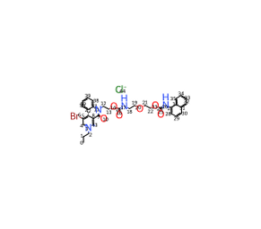 CCC[n+]1cc(Br)cc(C(=O)N(CCOC(=O)NCCOCCOC(=O)Nc2cccc3ccccc23)c2ccccc2)c1.[Cl-]